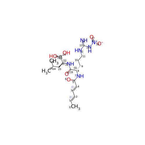 C/C=C/C=C/C(=O)N[C@@H](CCCNC(=N)N[N+](=O)[O-])C(=O)N[C@@H](CC(C)C)B(O)O